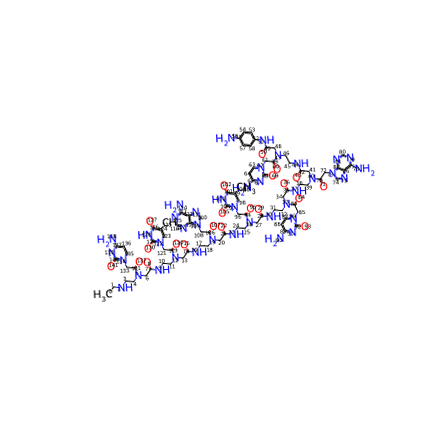 CCNCCN(CC(=O)NCCN(CC(=O)NCCN(CC(=O)NCCN(CC(=O)NCCN(CC(=O)NCCN(CC(=O)NCCN(CC(=O)Nc1ccc(N)cc1)C(=O)Cn1ccc(N)nc1=O)C(=O)Cn1cnc2c(N)ncnc21)C(=O)Cn1ccc(N)nc1=O)C(=O)Cn1cc(C)c(=O)[nH]c1=O)C(=O)Cn1cnc2c(N)ncnc21)C(=O)Cn1cc(C)c(=O)[nH]c1=O)C(=O)Cn1ccc(N)nc1=O